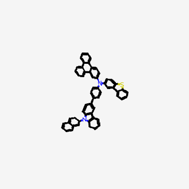 C1=Cc2c(n(C3C=c4ccccc4=CC3)c3ccc(-c4ccc(N(c5ccc6sc7ccccc7c6c5)c5ccc6c7ccccc7c7ccccc7c6c5)cc4)cc23)CC1